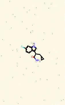 NC(=O)C(CC1CC1)c1c[nH]c2cc(F)ccc12